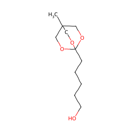 CC12COC(CCCCCO)(OC1)OC2